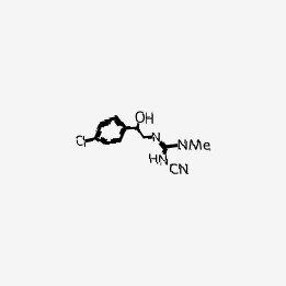 CN/C(=N/CC(O)c1ccc(Cl)cc1)NC#N